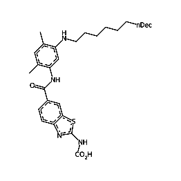 CCCCCCCCCCCCCCCCNc1cc(NC(=O)c2ccc3nc(NC(=O)O)sc3c2)c(C)cc1C